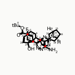 CC(C)(C)OC(=O)N1CCC(c2ccnc(N3[C@@H]4CC[C@H]3CN(c3cc(-c5cc(F)ccc5O)nnc3N)C4)n2)CC1